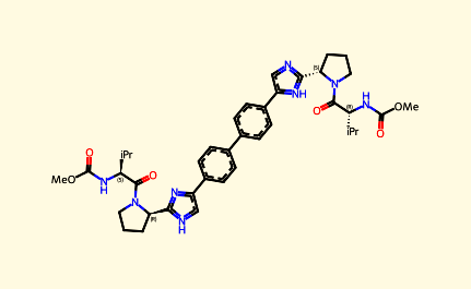 COC(=O)N[C@H](C(=O)N1CCC[C@@H]1c1nc(-c2ccc(-c3ccc(-c4cnc([C@@H]5CCCN5C(=O)[C@H](NC(=O)OC)C(C)C)[nH]4)cc3)cc2)c[nH]1)C(C)C